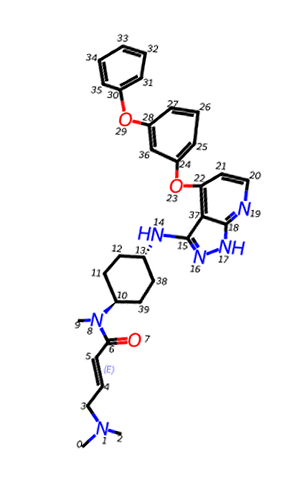 CN(C)C/C=C/C(=O)N(C)[C@H]1CC[C@H](Nc2n[nH]c3nccc(Oc4cccc(Oc5ccccc5)c4)c23)CC1